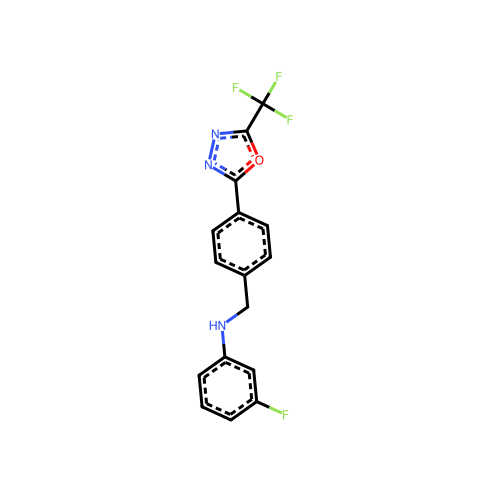 Fc1cccc(NCc2ccc(-c3nnc(C(F)(F)F)o3)cc2)c1